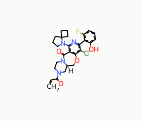 C=CC(=O)N1CCN2C(=O)c3c(N4CCCC45CCC5)nc(-c4c(O)cccc4F)c(Cl)c3OC[C@H]2C1